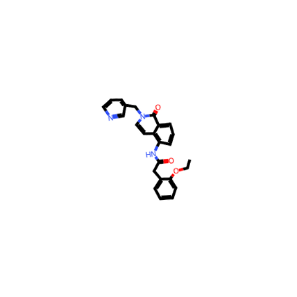 CCOc1ccccc1CC(=O)Nc1cccc2c(=O)n(Cc3cccnc3)ccc12